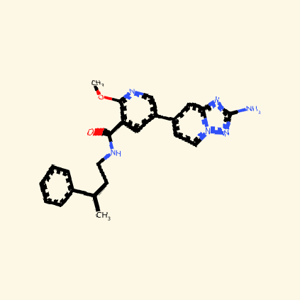 COc1ncc(-c2ccn3nc(N)nc3c2)cc1C(=O)NCCC(C)c1ccccc1